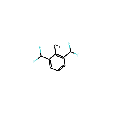 Bc1c(C(F)F)cccc1C(F)F